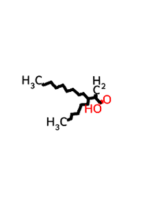 C=C(C(=O)O)C(CCCCCC)CCCCCCCCC